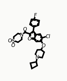 O=C(c1oc2cc(OC3CCN(C4CCC4)CC3)c(Cl)cc2c1-c1ccc(F)cc1)N1CCS(=O)(=O)CC1